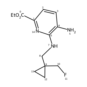 CCOC(=O)c1ccc(N)c(NCC2(CF)CC2)n1